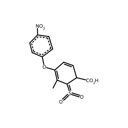 CC1=C(Oc2ccc([N+](=O)[O-])cc2)C=CC(C(=O)O)C1=S(=O)=O